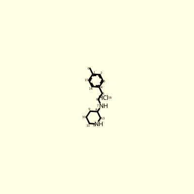 Cc1ccc(CCNC2CCCNC2)cc1.Cl